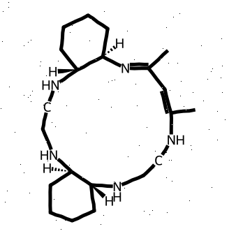 C/C1=C/C(C)=N/[C@@H]2CCCC[C@H]2NCCN[C@@H]2CCCC[C@H]2NCCN1